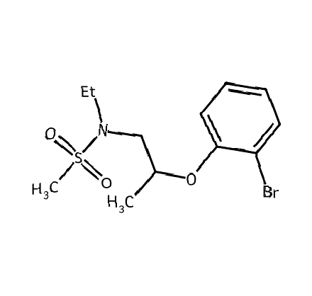 CCN(CC(C)Oc1ccccc1Br)S(C)(=O)=O